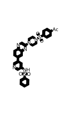 CC(=O)c1ccc(S(=O)(=O)N2CCN(c3cnc4ccc(-c5cncc(NS(=O)(=O)c6ccccc6)c5)cc4n3)CC2)cc1